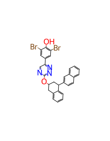 Oc1c(Br)cc(-c2cnc(OC3Cc4ccccc4C(c4ccc5ccccc5c4)C3)nn2)cc1Br